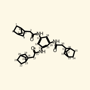 O=C(CC1CC2CCC1C2)Nc1cc(NC(=O)CC2CC3CCC2C3)cc(NC(=O)CC2CC3CCC2C3)c1